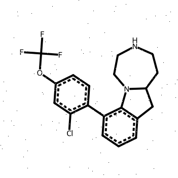 FC(F)(F)Oc1ccc(-c2cccc3c2N2CCNCCC2C3)c(Cl)c1